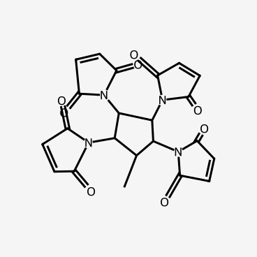 CC1C(N2C(=O)C=CC2=O)C(N2C(=O)C=CC2=O)C(N2C(=O)C=CC2=O)C1N1C(=O)C=CC1=O